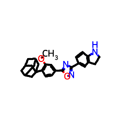 COc1cc(-c2nc(-c3ccc4c(c3)CCN4)no2)ccc1C12CC3CC(CC(C3)C1)C2